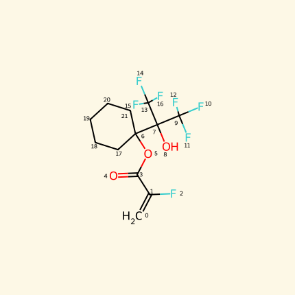 C=C(F)C(=O)OC1(C(O)(C(F)(F)F)C(F)(F)F)CCCCC1